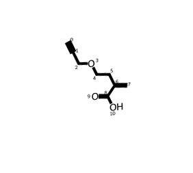 C#CCOCCC(=C)C(=O)O